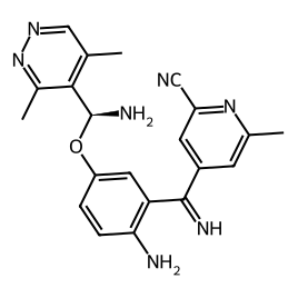 Cc1cc(C(=N)c2cc(O[C@H](N)c3c(C)cnnc3C)ccc2N)cc(C#N)n1